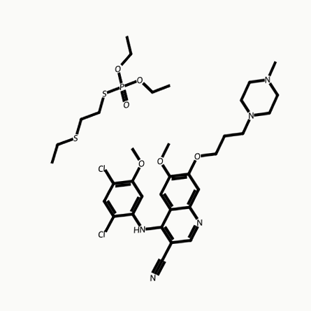 CCOP(=O)(OCC)SCCSCC.COc1cc(Nc2c(C#N)cnc3cc(OCCCN4CCN(C)CC4)c(OC)cc23)c(Cl)cc1Cl